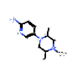 CC1CN(c2ccc(N)nc2)C(C)CN1C(=O)O